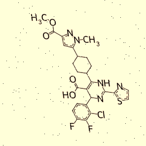 COC(=O)c1cc(C2CCC(C3=C(C(=O)O)C(c4ccc(F)c(F)c4Cl)N=C(c4nccs4)N3)CC2)n(C)n1